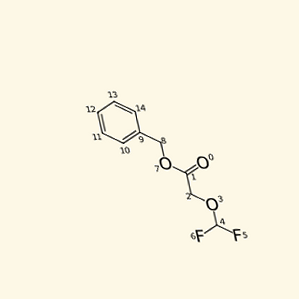 O=C(COC(F)F)OCc1ccccc1